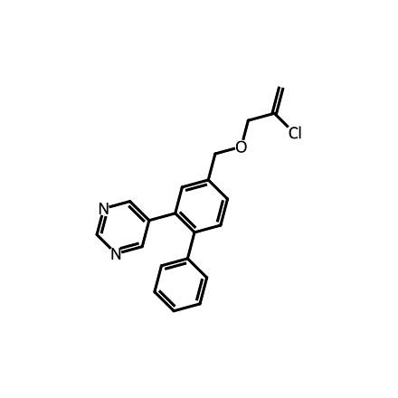 C=C(Cl)COCc1ccc(-c2ccccc2)c(-c2cncnc2)c1